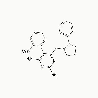 COc1ccccc1-c1c(N)nc(N)nc1CN1CCCC1c1ccccc1